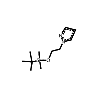 CC(C)(C)[Si](C)(C)OCCn1cc[c]n1